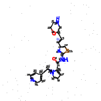 O=C(Nc1nc(/C=C/C2CNCCO2)cs1)c1cccn1Cc1ccncc1